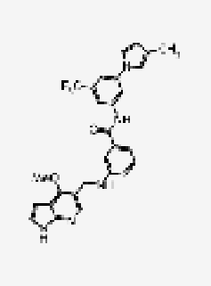 COc1c(CNc2cccc(C(=O)Nc3cc(-n4ccc(C)c4)cc(C(F)(F)F)c3)c2)cnc2[nH]ccc12